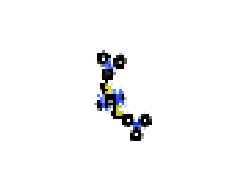 C1=CCCC(N(c2ccccc2)c2ccc(-c3ccc(-c4c5nccnc5c(-c5ccc(-c6ccc(N(c7ccccc7)c7ccccc7)cc6)s5)c5nccnc45)s3)cc2)=C1